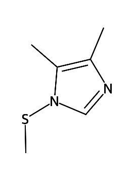 CSn1cnc(C)c1C